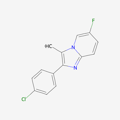 [CH]c1c(-c2ccc(Cl)cc2)nc2ccc(F)cn12